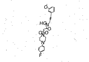 COc1cccc(C#CCN(O)C(=O)CS(=O)(=O)N2CCN(c3ccc(F)cc3)CC2)c1